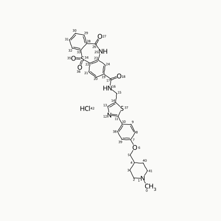 CN1CCC(COc2ccc(-c3ncc(CNC(=O)c4ccc5c(c4)NC(=O)c4ccccc4S5(=O)=O)s3)cc2)CC1.Cl